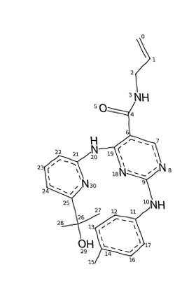 C=CCNC(=O)c1cnc(Nc2ccc(C)cc2)nc1Nc1cccc(C(C)(C)O)n1